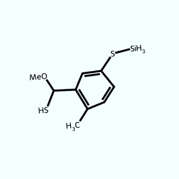 COC(S)c1cc(S[SiH3])ccc1C